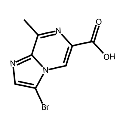 Cc1nc(C(=O)O)cn2c(Br)cnc12